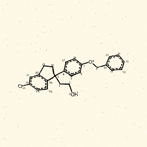 OCCC1(c2ccc(OCc3ccccc3)cc2)CCc2cc(Cl)ccc21